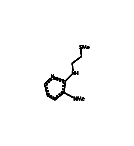 CNc1cccnc1NCCSC